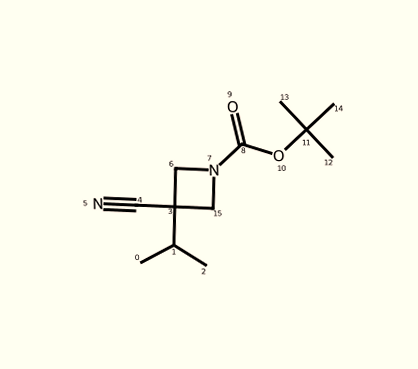 CC(C)C1(C#N)CN(C(=O)OC(C)(C)C)C1